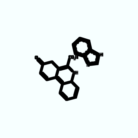 O=C1C=CC2=C3C=CC=CC3NC(C(=O)O)=C2C1.c1ccc2[nH]cnc2c1